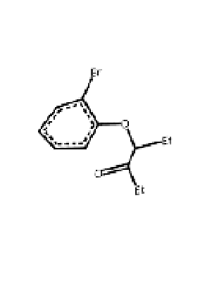 CCC(=O)C(CC)Oc1ccccc1Br